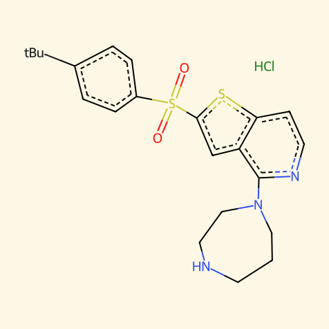 CC(C)(C)c1ccc(S(=O)(=O)c2cc3c(N4CCCNCC4)nccc3s2)cc1.Cl